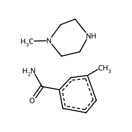 CN1CCNCC1.Cc1cccc(C(N)=O)c1